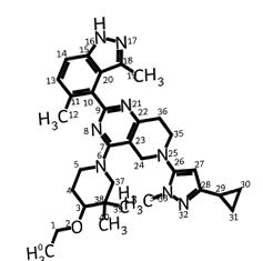 CCOC1CCN(c2nc(-c3c(C)ccc4[nH]nc(C)c34)nc3c2CN(c2cc(C4CC4)nn2C)CC3)CC1(C)C